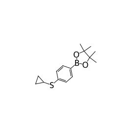 CC1(C)OB(c2ccc(SC3CC3)cc2)OC1(C)C